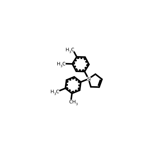 Cc1ccc([Si]2(c3ccc(C)c(C)c3)CC=CC2)cc1C